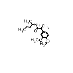 C=C(C(=O)NC(C)CCC)c1ccc(OC)c(OC)c1